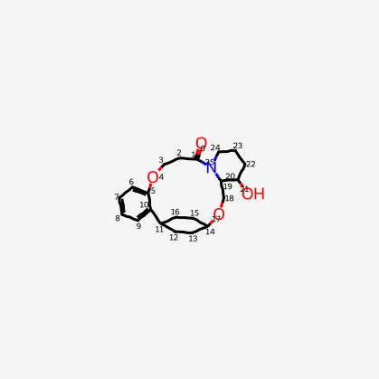 O=C1CCOc2ccccc2C2CCC(CC2)OCC2C(O)CCCN12